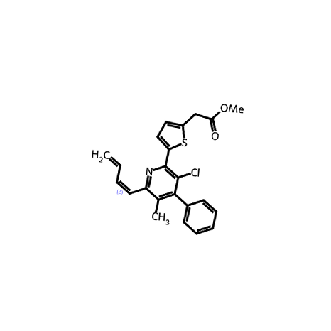 C=C/C=C\c1nc(-c2ccc(CC(=O)OC)s2)c(Cl)c(-c2ccccc2)c1C